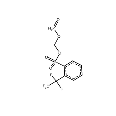 O=[PH2]OCOS(=O)(=O)c1ccccc1C(F)(F)C(F)(F)F